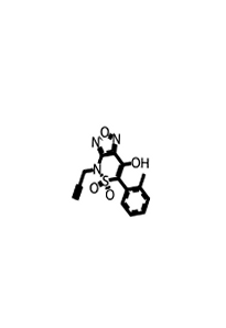 C#CCN1c2nonc2C(O)=C(c2ccccc2C)S1(=O)=O